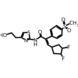 CS(=O)(=O)c1ccc(/C(=C\C2CC(F)C(F)C2)C(=O)Nc2nc(CCO)cs2)cc1